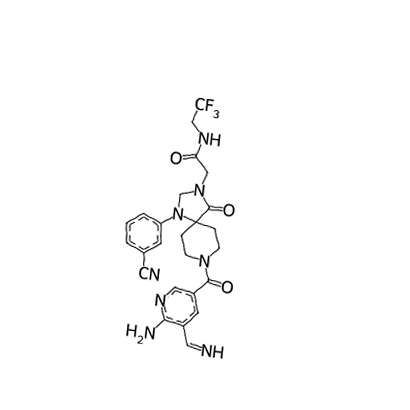 N#Cc1cccc(N2CN(CC(=O)NCC(F)(F)F)C(=O)C23CCN(C(=O)c2cnc(N)c(C=N)c2)CC3)c1